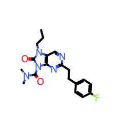 CCCn1c(=O)n(C(=O)N(C)C)c2nc(CCc3ccc(F)cc3)ncc21